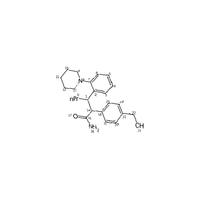 CCCC(c1ccccc1N1CCCCC1)C(C(N)=O)c1ccc(CO)cc1